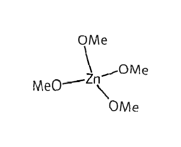 C[O][Zn]([O]C)([O]C)[O]C